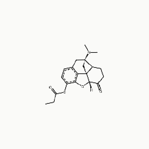 CCC(=O)Oc1ccc2c3c1O[C@H]1C(=O)CCC([C@H](N(C)C)C2)[C@@]31CI